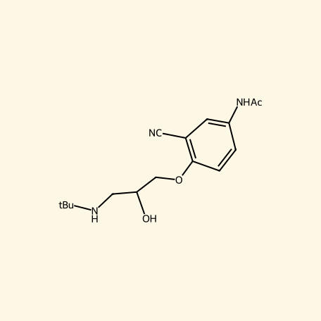 CC(=O)Nc1ccc(OCC(O)CNC(C)(C)C)c(C#N)c1